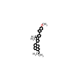 COc1ccc2cc(-c3ccc4c(c3)C(C)(C)c3cc(-c5ccc6ccc7cc(CC(C)C)cc8ccc5c6c78)ccc3-4)ccc2c1